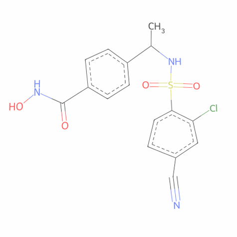 CC(NS(=O)(=O)c1ccc(C#N)cc1Cl)c1ccc(C(=O)NO)cc1